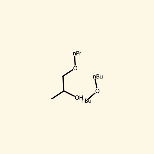 CCCCOCCCC.CCCOCC(C)O